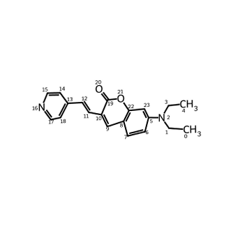 CCN(CC)c1ccc2cc(/C=C/c3ccncc3)c(=O)oc2c1